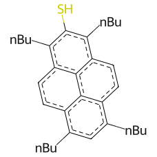 CCCCc1cc(CCCC)c2ccc3c(CCCC)c(S)c(CCCC)c4ccc1c2c43